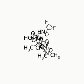 CCC(C)[C@@H](C(=O)N[C@@H](CCNC(=O)c1cc(F)cc(F)c1)C(=O)NO)N(C)C(=O)c1cccn1C(=O)CCN(C)C(C)=O